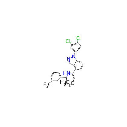 C/C=C(\N[C@@H](C)c1cccc(C(F)(F)F)c1)c1cccc2c1cnn2-c1ccc(Cl)c(Cl)c1